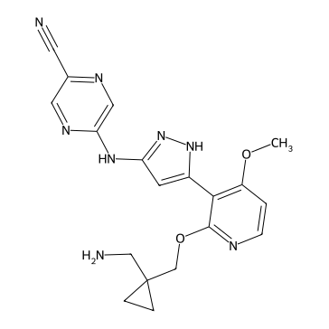 COc1ccnc(OCC2(CN)CC2)c1-c1cc(Nc2cnc(C#N)cn2)n[nH]1